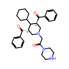 O=C(c1ccccc1)[C@H]1CN(CC(=O)N2CCNCC2)C[C@H](C(=O)c2ccccc2)C1C1CCCCC1